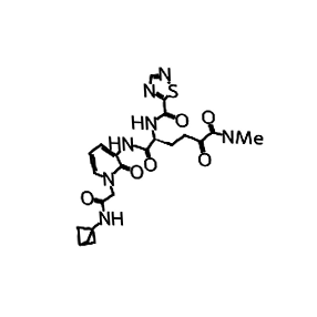 CNC(=O)C(=O)CC[C@H](NC(=O)c1ncns1)C(=O)Nc1cccn(CC(=O)NC23CC(C2)C3)c1=O